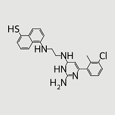 Cc1c(Cl)cccc1C1=CC(NCCNc2cccc3c(S)cccc23)NC(N)=N1